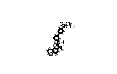 CN[S+]([O-])c1ccc(-c2cccc(NC(=O)C3(c4ccc5c(c4)CCCO5)CC3)c2)cc1